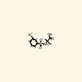 CC(C)(NS(=O)(=O)c1cccc(Br)c1)C(=O)O